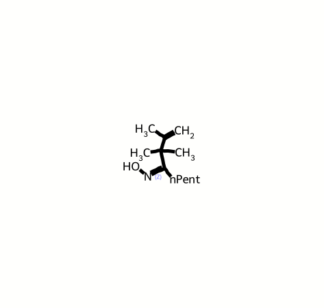 C=C(C)C(C)(C)/C(CCCCC)=N\O